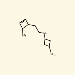 CCCC1C=CC1CCNC1CC(C)C1